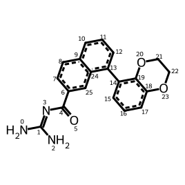 NC(N)=NC(=O)c1ccc2cccc(-c3cccc4c3OCCO4)c2c1